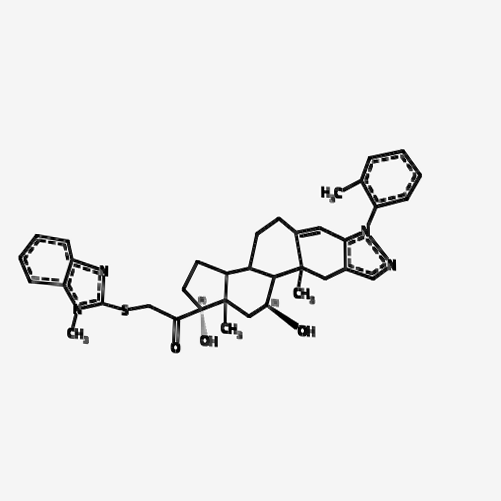 Cc1ccccc1-n1ncc2c1C=C1CCC3C([C@@H](O)CC4(C)C3CC[C@]4(O)C(=O)CSc3nc4ccccc4n3C)C1(C)C2